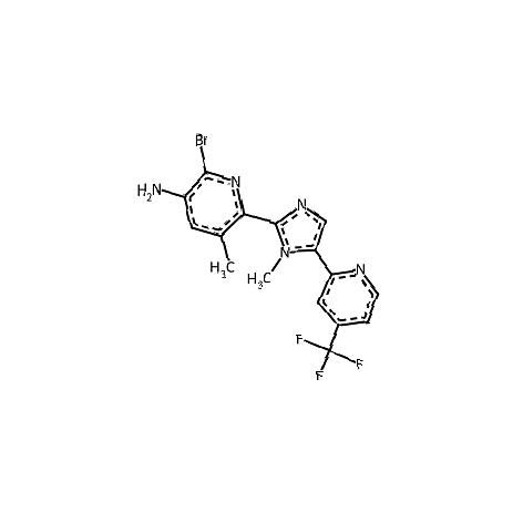 Cc1cc(N)c(Br)nc1-c1ncc(-c2cc(C(F)(F)F)ccn2)n1C